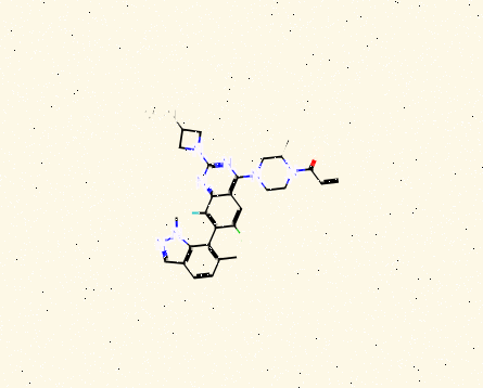 C=CC(=O)N1C[C@H](C)N(c2nc(N3CC(NC)C3)nc3c(F)c(-c4c(C)ccc5cnn(C)c45)c(Cl)cc23)C[C@H]1C